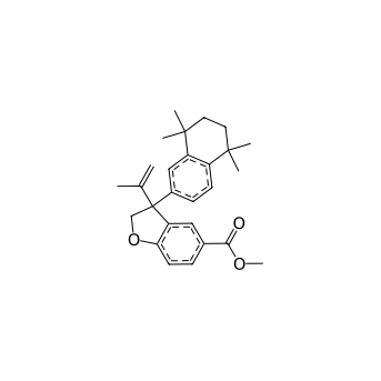 C=C(C)C1(c2ccc3c(c2)C(C)(C)CCC3(C)C)COc2ccc(C(=O)OC)cc21